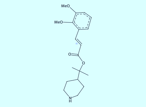 COc1cccc(/C=C/C(=O)OC(C)(C)C2CCNCC2)c1OC